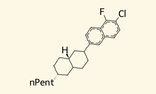 CCCCC[C@@H]1CC[C@@H]2CC(c3ccc4c(F)c(Cl)ccc4c3)CCC2C1